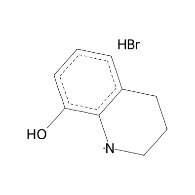 Br.Oc1cccc2c1[N]CCC2